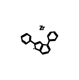 [CH]1C(c2ccccc2)=Cc2c1cccc2-c1ccccc1.[Zr]